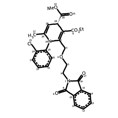 CCOC(=O)C1=C(COCCN2C(=O)c3ccccc3C2=O)N(c2ccccc2Cl)C(C)=C[C@@H]1C(=O)OC